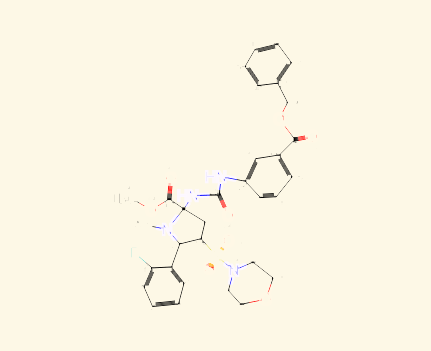 CC(=O)N1C(c2ccccc2F)C(S(=O)(=O)N2CCOCC2)CC1(NC(=O)Nc1cccc(C(=O)OCc2ccccc2)c1)C(=O)OC(C)(C)C